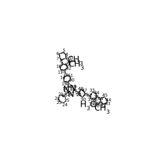 CC1(C)c2ccccc2-c2ccc(-c3ccc(-c4nc(C5=CC=CCC5)nc(-c5ccc(-c6ccc7c(c6)C(C)(C)c6ccccc6-7)cc5)n4)cc3)cc21